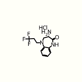 Cl.N[C@H]1CN(CCC(F)(F)F)c2ccccc2NC1=O